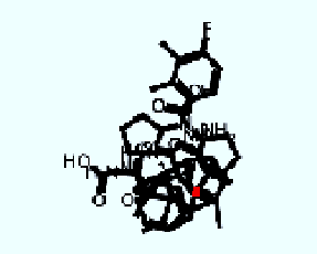 CCC1(C(C)C(N)=O)Cc2ccc(cc2)[C@@]1(C(=O)NC(=O)O)N1CCCC1N(c1ccc(F)c(C)c1C)C1CCCN1[C@]1(C(=O)NC(=O)O)c2ccc(cc2)CC1(CC)C(C)C(N)=O